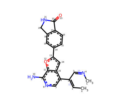 C/C=C(\C=N/C)c1cnc(N)c2oc(-c3ccc4c(c3)CNC4=O)cc12